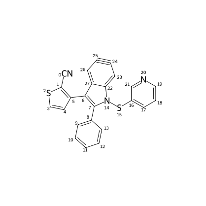 N#Cc1sccc1-c1c(-c2ccccc2)n(Sc2cccnc2)c2cc#ccc12